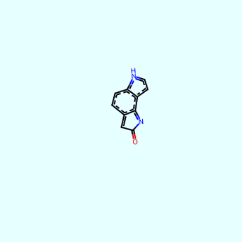 O=C1C=c2ccc3[nH]ccc3c2=N1